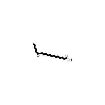 CCCCCC1OC1C/C=C/C/C=C/C/C=C/CCCC(=O)O